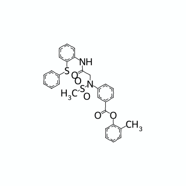 Cc1ccccc1OC(=O)c1cccc(N(CC(=O)Nc2ccccc2Sc2ccccc2)S(C)(=O)=O)c1